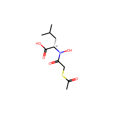 CC(=O)SCC(=O)N(O)[C@@H](CC(C)C)C(=O)O